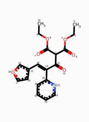 CCOC(=O)C(C(=O)OCC)C(=O)/C(=C/c1ccoc1)c1ccccn1